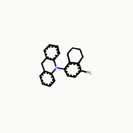 Cc1ccc(N2c3ccccc3Cc3ccccc32)c2c1CCCC2